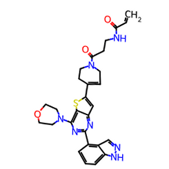 C=CC(=O)NCCC(=O)N1CC=C(c2cc3nc(-c4cccc5[nH]ncc45)nc(N4CCOCC4)c3s2)CC1